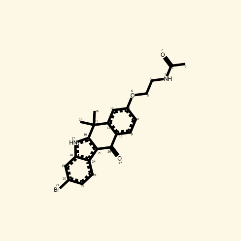 CC(=O)NCCOc1ccc2c(c1)C(C)(C)c1[nH]c3cc(Br)ccc3c1C2=O